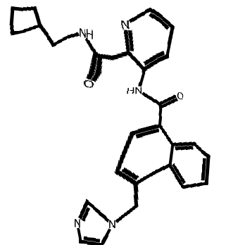 O=C(NCC1CCC1)c1ncccc1NC(=O)c1ccc(Cn2ccnc2)c2ccccc12